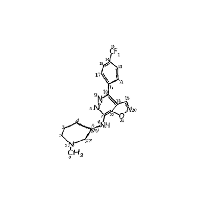 CN1CCC[C@@H](Nc2nnc(-c3ccc(C(F)(F)F)cc3)c3cnoc23)C1